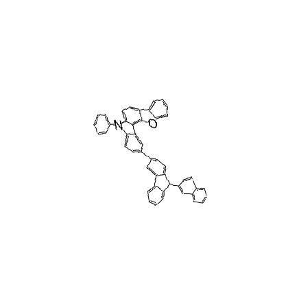 c1ccc(-n2c3ccc(-c4ccc5c(c4)-c4ccccc4C5c4ccc5ccccc5c4)cc3c3c4oc5ccccc5c4ccc32)cc1